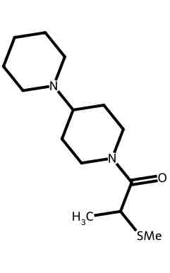 CSC(C)C(=O)N1CCC(N2CCCCC2)CC1